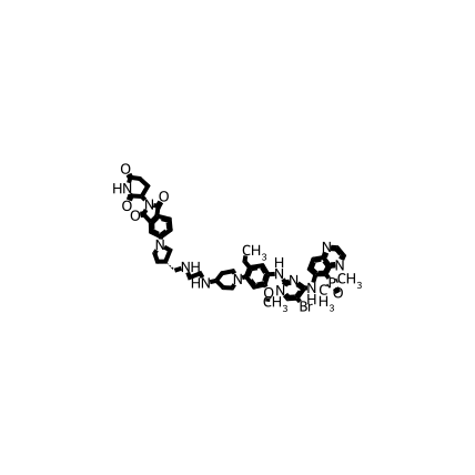 CCc1cc(Nc2ncc(Br)c(Nc3ccc4nccnc4c3P(C)(C)=O)n2)c(OC)cc1N1CCC(NCCNC[C@@H]2CCN(c3ccc4c(c3)C(=O)N(C3CCC(=O)NC3=O)C4=O)C2)CC1